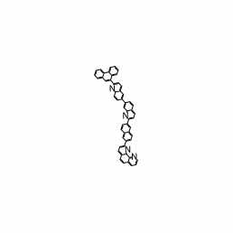 c1ccc2c(c1)cc(-c1ccc3cc(-c4ccc5ccc(-c6ccc7cc(-c8ccc9ccc%10cccnc%10c9n8)ccc7c6)nc5c4)ccc3n1)c1ccccc12